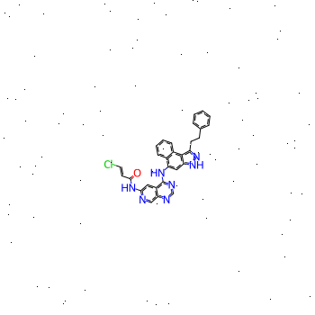 O=C(C=CCl)Nc1cc2c(Nc3cc4[nH]nc(CCc5ccccc5)c4c4ccccc34)ncnc2cn1